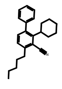 CCCCCc1ccc(-c2ccccc2)c(C2CCCCC2)c1C#N